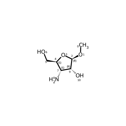 CO[C@@H]1O[C@H](CO)[C@@H](N)[C@H]1O